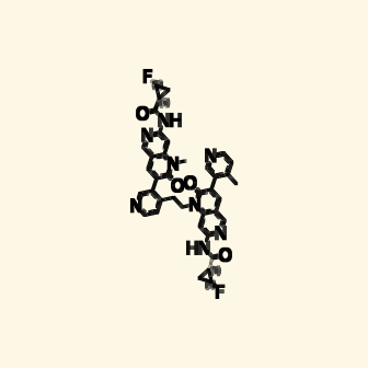 Cc1ccncc1-c1cc2cnc(NC(=O)[C@H]3C[C@@H]3F)cc2n(CCc2ccncc2-c2cc3cnc(NC(=O)[C@@H]4C[C@H]4F)cc3n(C)c2=O)c1=O